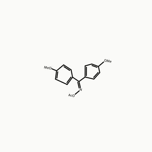 COc1ccc(C(=NOC(C)=O)c2ccc(OC)cc2)cc1